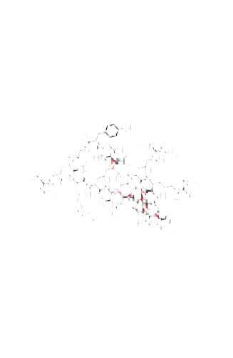 N=C(N)NCCC[C@H](NC(=O)CNC(=O)[C@@H](N)Cc1ccc(O)cc1)C(=O)N[C@@H](CCCCN)C(=O)N[C@@H](CCCCN)C(=O)N[C@@H](CCCNC(=N)N)C(=O)N[C@@H](CCCNC(=N)N)C(=O)N[C@@H](CCCNC(=N)N)C(=O)N[C@@H](CCCNC(=N)N)C(=O)N[C@@H](CCCNC(=N)N)C(=O)N[C@@H](CCC(N)=O)C(N)=O